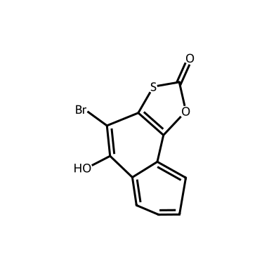 O=c1oc2c(s1)c(Br)c(O)c1ccccc12